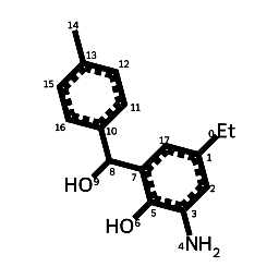 CCc1cc(N)c(O)c(C(O)c2ccc(C)cc2)c1